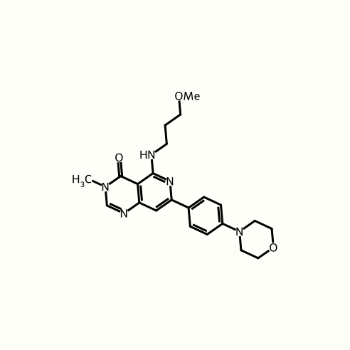 COCCCNc1nc(-c2ccc(N3CCOCC3)cc2)cc2ncn(C)c(=O)c12